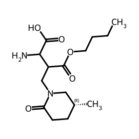 CCCCOC(=O)C(CN1C[C@H](C)CCC1=O)C(N)C(=O)O